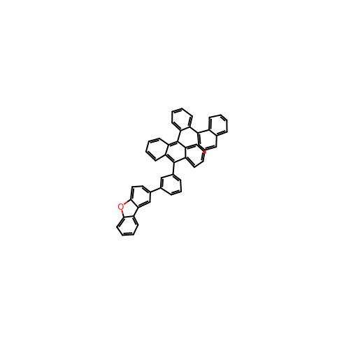 c1cc(-c2ccc3oc4ccccc4c3c2)cc(-c2c3ccccc3c(-c3ccccc3-c3cccc4ccccc34)c3ccccc23)c1